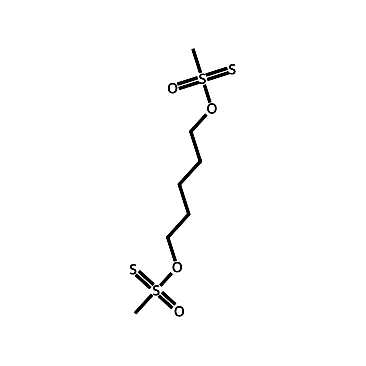 CS(=O)(=S)OCCCCCOS(C)(=O)=S